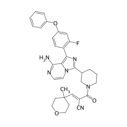 CC1(C=C(C#N)C(=O)N2CCCC(c3nc(-c4ccc(Oc5ccccc5)cc4F)c4c(N)nccn34)C2)CCOCC1